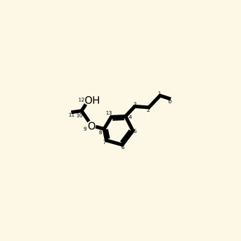 CCCCc1cccc(OC(C)O)c1